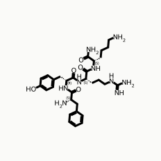 N=C(N)NCCC[C@H](NC(=O)[C@@H](Cc1ccc(O)cc1)NC(=O)[C@@H](N)Cc1ccccc1)C(=O)N[C@@H](CCCCN)C(N)=O